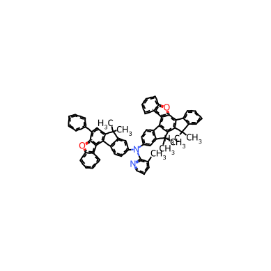 Cc1cccnc1N(c1ccc2c(c1)C(C)(C)c1cc(-c3ccccc3)c3oc4ccccc4c3c1-2)c1ccc2c(c1)C(C)(C)c1c3c(c4oc5ccccc5c4c1-2)-c1ccccc1C3(C)C